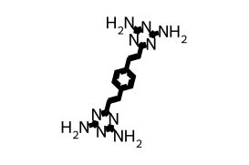 Nc1nc(N)nc(C=Cc2ccc(C=Cc3nc(N)nc(N)n3)cc2)n1